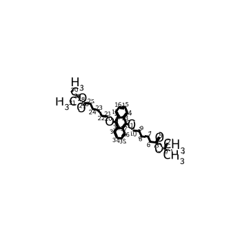 CC(C)OC(=O)CCCCCOc1c2ccccc2c(OCCCCCC(=O)OC(C)C)c2ccccc12